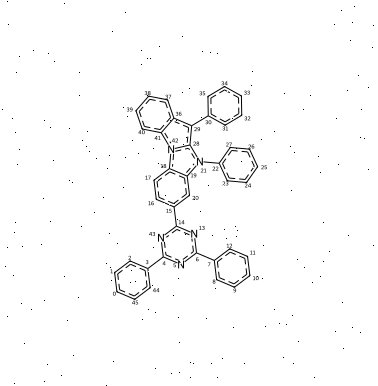 c1ccc(-c2nc(-c3ccccc3)nc(-c3ccc4c(c3)n(-c3ccccc3)c3c(-c5ccccc5)c5ccccc5n43)n2)cc1